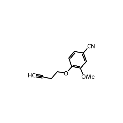 C#CCCOc1ccc(C#N)cc1OC